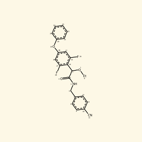 CCOC(C(=O)NCc1ccc(C#N)cc1)c1c(F)cc(Oc2ccccc2)cc1F